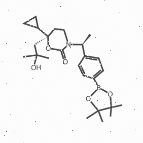 C[C@@H](c1ccc(B2OC(C)(C)C(C)(C)O2)cc1)N1CC[C@](CC(C)(C)O)(C2CC2)OC1=O